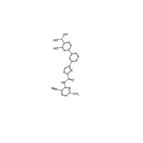 Cc1ccc(C#N)c(NC(=O)c2ccn(-c3cccc(-c4ccc(C(O)O)c(O)c4)c3)n2)n1